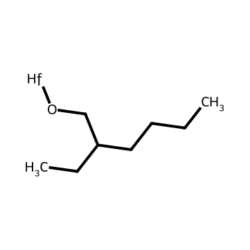 CCCCC(CC)C[O][Hf]